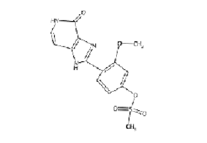 COc1cc(OS(C)(=O)=O)ccc1-c1nc2c(=O)[nH]ccc2[nH]1